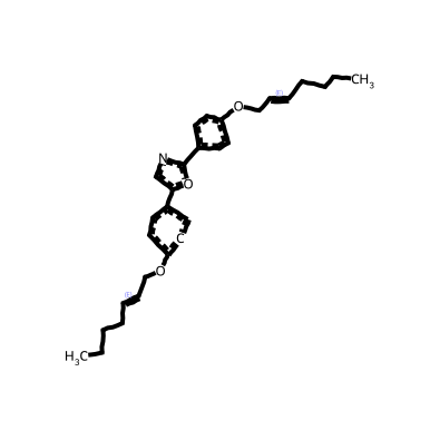 CCCC/C=C/COc1ccc(-c2cnc(-c3ccc(OC/C=C/CCCC)cc3)o2)cc1